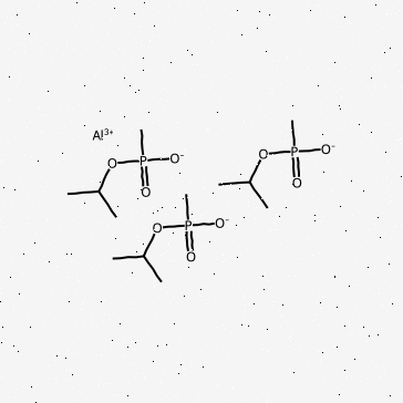 CC(C)OP(C)(=O)[O-].CC(C)OP(C)(=O)[O-].CC(C)OP(C)(=O)[O-].[Al+3]